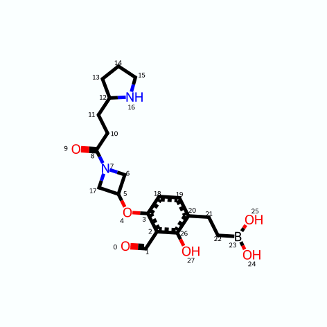 O=Cc1c(OC2CN(C(=O)CCC3CCCN3)C2)ccc(CCB(O)O)c1O